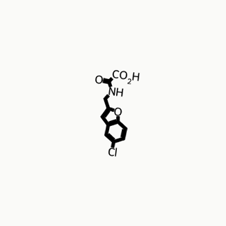 O=C(O)C(=O)NCc1cc2cc(Cl)ccc2o1